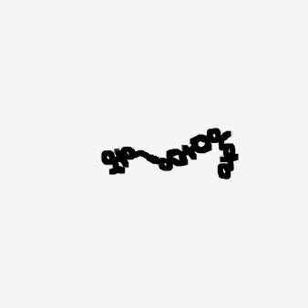 C=C(C)C(=O)C(C)(C)OCCC#COc1ccc(C(C)(C)c2ccc(OC(C)COC(C)(C)C=O)cc2)cc1